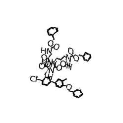 Cc1cc(-c2ccc(Cl)c(C[C@H](NC(=O)[C@H](C[C@@H](O)CNC(=O)OCc3ccccc3)NC(=O)CNC(=O)OCc3ccccc3)C(=O)O)c2)ccc1OCc1ccccc1